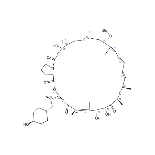 C\C1=C/C=C/C=C/[C@@H](C)C[C@@H](C)C(=O)[C@H](O)[C@H](O)/C(C)=C/[C@@H](C)C(=O)C[C@@H]([C@H](C)C[C@H]2CC[C@H](O)CC2)OC(=O)C2CCCN2C(=O)C[C@@](C)(O)[C@H](C)CC[C@H](C)C[C@@H]1OC(C)(C)C